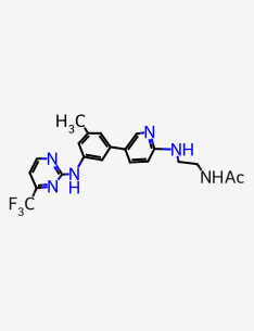 CC(=O)NCCNc1ccc(-c2cc(C)cc(Nc3nccc(C(F)(F)F)n3)c2)cn1